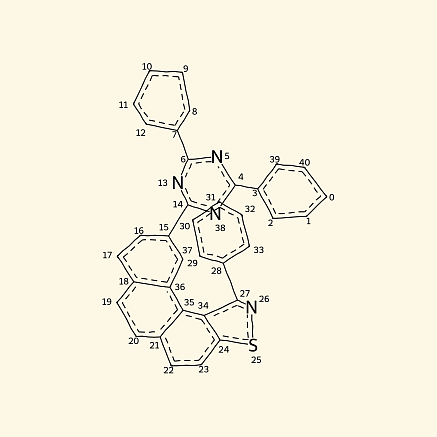 c1ccc(-c2nc(-c3ccccc3)nc(-c3ccc4ccc5ccc6snc(-c7ccccc7)c6c5c4c3)n2)cc1